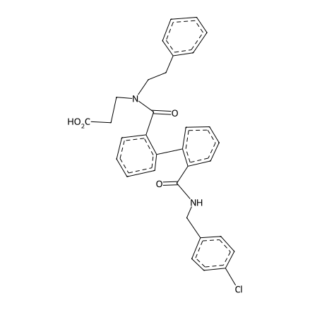 O=C(O)CCN(CCc1ccccc1)C(=O)c1ccccc1-c1ccccc1C(=O)NCc1ccc(Cl)cc1